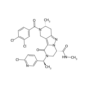 CNC(=O)[C@@H]1CN([C@@H](C)c2ccc(Cl)nc2)C(=O)c2c3c(nn21)C[C@@H](C)N(C(=O)c1ccc(Cl)c(Cl)c1)C3